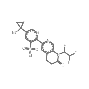 CCS(=O)(=O)c1cc(C2(C#N)CC2)cnc1-c1cc2c(cn1)N(C(F)C(F)F)C(=O)CC2